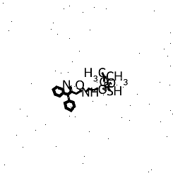 CC(C)OP(=O)(S)OCCCNC(=O)Cc1cnc2ccccc2c1-c1ccccc1